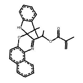 C=C(C)C(=O)OC(C)C1=Nc2c(ccc3ccccc23)OC12Nc1ccccc1C2(C)C